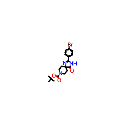 CC(C)(C)OC(=O)N1CCC2(CC1)N=C(c1ccc(Br)cc1)NC2=O